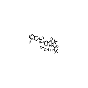 CC(C)(C)NC(=O)N[C@H](C(=O)N1C[C@H](NC(=O)N2Cc3cccc(F)c3C2)[C@@H](C(=O)O)C1)C(C)(C)C